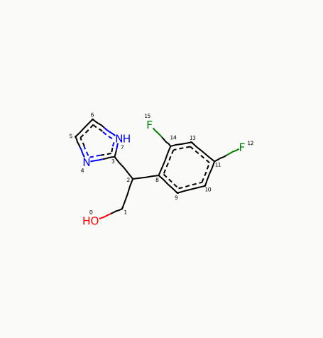 OCC(c1ncc[nH]1)c1ccc(F)cc1F